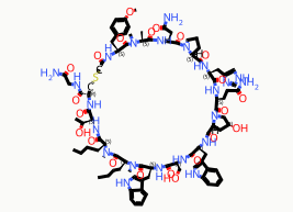 CCCC[C@H]1C(=O)N(C)[C@@H](CCCC)C(=O)N[C@@H](C(C)O)C(=O)N[C@H](C(=O)NCC(N)=O)CSCC(=O)N[C@@H](Cc2ccc(OC)cc2)C(=O)N(C)[C@@H](C)C(=O)N[C@@H](CC(N)=O)C(=O)N2CCC[C@H]2C(=O)N[C@@H](Cc2c[nH]cn2)C(=O)N[C@@H](CCC(N)=O)C(=O)N2C[C@H](O)C[C@H]2C(=O)N[C@@H](Cc2c[nH]c3ccccc23)C(=O)N[C@@H](CO)C(=O)N[C@@H](Cc2c[nH]c3ccccc23)C(=O)N1C